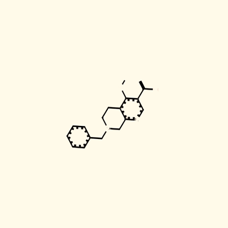 COc1c(C(=O)O)cnc2c1CCN(Cc1ccccc1)C2